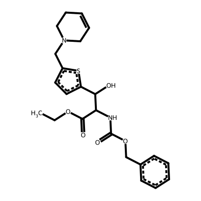 CCOC(=O)C(NC(=O)OCc1ccccc1)C(O)c1ccc(CN2CC=CCC2)s1